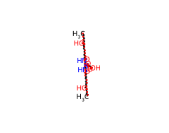 CCCCCCC(O)CC=CCCCCCCCC(=O)NCCN(CCNC(=O)CCCCCCCC=CCC(O)CCCCCC)C(=O)C=CC(=O)O